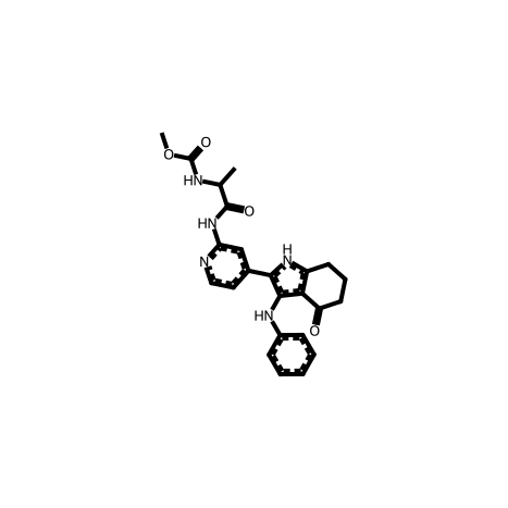 COC(=O)NC(C)C(=O)Nc1cc(-c2[nH]c3c(c2Nc2ccccc2)C(=O)CCC3)ccn1